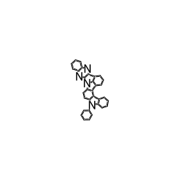 c1ccc(-n2c3ccccc3c3c4c5cccc6c7nc8ccccc8nc7n(c4ccc32)c65)cc1